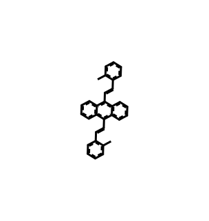 Cc1ccccc1C=Cc1c2ccccc2c(C=Cc2ccccc2C)c2ccccc12